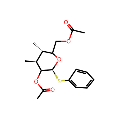 CC(=O)OCC1O[C@@H](Sc2ccccc2)C(OC(C)=O)[C@@H](C)[C@@H]1C